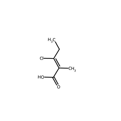 CC/C(Cl)=C(\C)C(=O)O